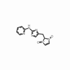 O=[N+]1C=C[N+](=O)C1Cc1csc(Nc2ccccn2)n1